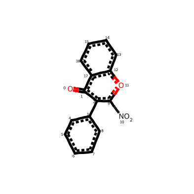 O=c1c(-c2ccccc2)c([N+](=O)[O-])oc2ccccc12